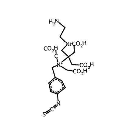 NCCNCC(CC(=O)O)(CC(=O)O)[N+](CC(=O)O)(CC(=O)O)Cc1ccc(N=C=S)cc1